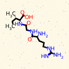 CC[C@H](C)[C@H](NC(=O)CNC(=O)[C@@H](N)CCCNC(=N)N)C(=O)O